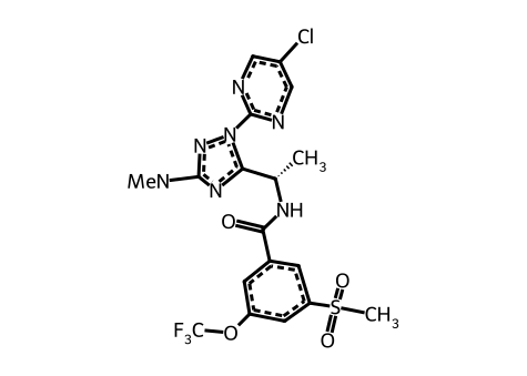 CNc1nc([C@H](C)NC(=O)c2cc(OC(F)(F)F)cc(S(C)(=O)=O)c2)n(-c2ncc(Cl)cn2)n1